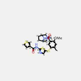 COc1cc(C)c(Sc2cnc(NC(=O)c3ccsc3)s2)cc1C(=O)N1C2CCC1CN(C)C2